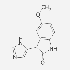 COc1ccc2c(c1)C(c1cnc[nH]1)C(=O)N2